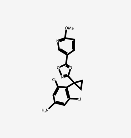 COc1ccc(-c2nc(C3(c4c(Cl)cc(N)cc4Cl)CC3)no2)cn1